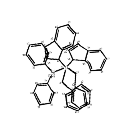 C1=C[CH]([Ti]([CH2]c2ccccc2)([CH2]c2ccccc2)([CH]2C=Cc3ccccc32)[SiH](c2ccccc2)c2ccccc2)c2ccccc21